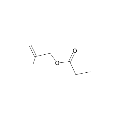 C=C(C)COC(=O)CC